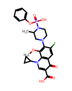 COc1c(N2CCN(P(=O)(O)Oc3ccccc3)C(C)C2)c(F)cc2c(=O)c(C(=O)O)cn(C3CC3)c12